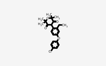 CCc1cc(Oc2ccc(Cl)cc2)ccc1C1C(=O)C(C)(C)OC(C)(C)C1=O